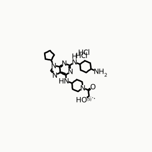 C[C@H](O)C(=O)N1CCC(Nc2nc(NC3CCC(N)CC3)nc3c2ncn3C2CCCC2)CC1.Cl.Cl